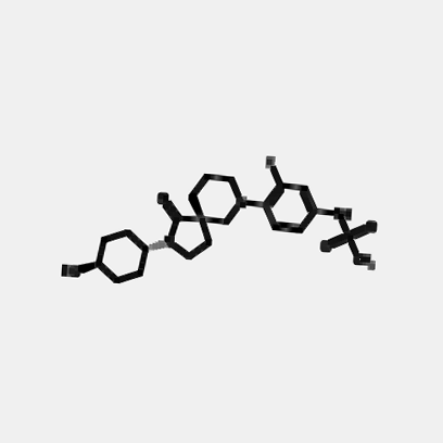 CS(=O)(=O)Nc1ccc(N2CCC[C@]3(CCN([C@H]4CC[C@H](O)CC4)C3=O)C2)c(F)c1